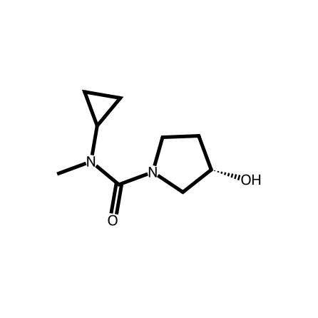 CN(C(=O)N1CC[C@H](O)C1)C1CC1